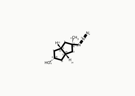 C[C@@]1(N=[N+]=[N-])C[C@H]2C[C@@H](O)C[C@H]2C1